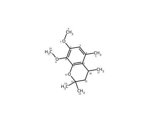 COc1cc(C)c2c(c1OC)OC(C)(C)CC2C